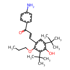 CCCOc1c(C=CC(=O)c2ccc(N)cc2)cc(C(C)(C)C)c(O)c1C(C)(C)C